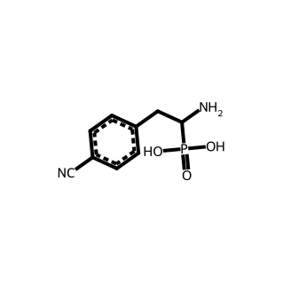 N#Cc1ccc(CC(N)P(=O)(O)O)cc1